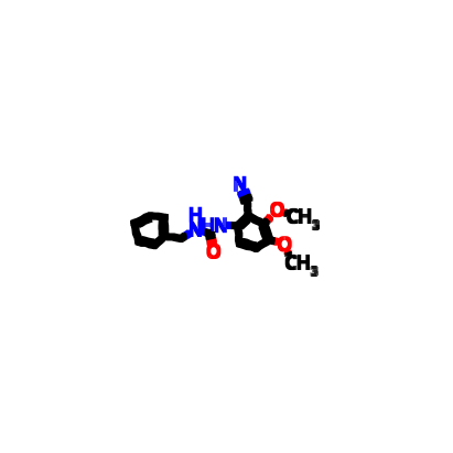 COc1ccc(NC(=O)NCc2ccccc2)c(C#N)c1OC